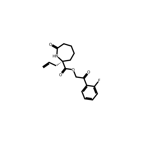 C=CC[C@@]1(C(=O)OCC(=O)c2ccccc2F)CCCCC(=O)N1